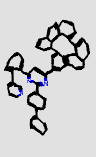 c1ccc(-c2ccc(-c3nc(-c4cc5ccc6cccc7c8cccc9ccc%10cccc(c(c4)c5c67)c%10c98)cc(-c4ccccc4-c4cccnc4)n3)cc2)cc1